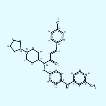 Cc1cc(Nc2ccc(CN(C(=O)C=Cc3ccc(Cl)cc3)C3CCN(C4CCCC4)CC3)cn2)ccn1